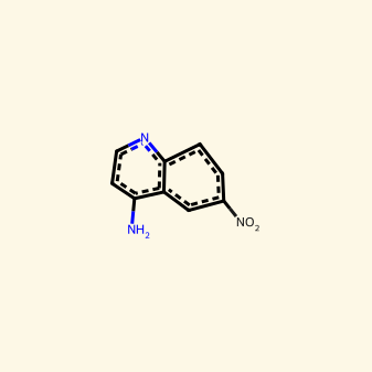 Nc1ccnc2ccc([N+](=O)[O-])cc12